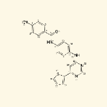 Nc1ccc(C(=O)Nc2ccc(Nc3cc(-c4cccs4)ncn3)cc2)cc1